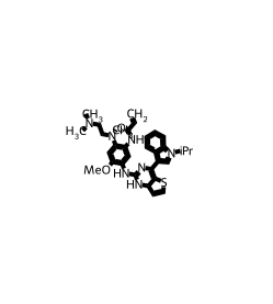 C=CC(=O)Nc1cc(NC2=NC(c3cn(C(C)C)c4ccccc34)=C3SC=CC3N2)c(OC)cc1N(C)CCN(C)C